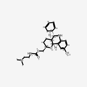 CN(C)CCNC(=O)OC[C@H]1CC[C@@H]2[C@H](O1)c1cc(C(F)(F)F)ccc1N[C@H]2C1C=CC=CC1